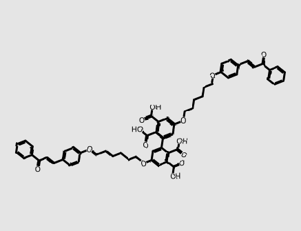 O=C(C=Cc1ccc(OCCCCCCOc2cc(C(=O)O)c(C(=O)O)c(-c3cc(OCCCCCCOc4ccc(C=CC(=O)c5ccccc5)cc4)cc(C(=O)O)c3C(=O)O)c2)cc1)c1ccccc1